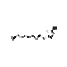 CCCCCCCCSc1nnc(S)s1